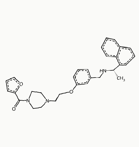 C[C@H](NCc1cccc(OCCN2CCN(C(=O)c3ccco3)CC2)c1)c1cccc2ccccc12